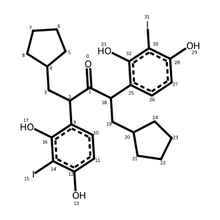 O=C(C(CC1CCCC1)c1ccc(O)c(I)c1O)C(CC1CCCC1)c1ccc(O)c(I)c1O